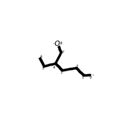 [CH2]CCCC(CC)C[O]